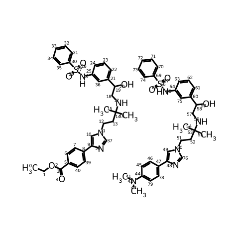 CCOC(=O)c1ccc(-c2cn(CCC(C)(C)NCC(O)c3cccc(NS(=O)(=O)c4ccccc4)c3)cn2)cc1.CN(C)c1ccc(-c2cn(CCC(C)(C)NCC(O)c3cccc(NS(=O)(=O)c4ccccc4)c3)cn2)cc1